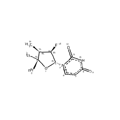 CCC[C@]1(CC)O[C@@H](n2ccc(=O)[nH]c2=O)[C@H](F)[C@@H]1C